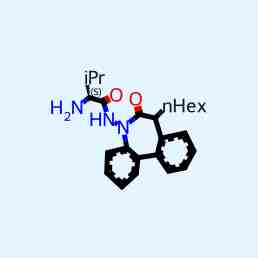 CCCCCCC1C(=O)N(NC(=O)[C@@H](N)C(C)C)c2ccccc2-c2ccccc21